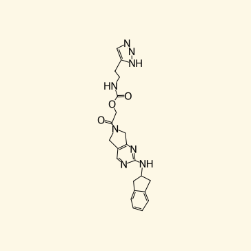 O=C(NCCc1cnn[nH]1)OCC(=O)N1Cc2cnc(NC3Cc4ccccc4C3)nc2C1